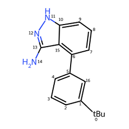 CC(C)(C)c1cccc(-c2cccc3[nH]nc(N)c23)c1